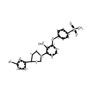 CC(C)c1noc(C2CCN(c3ncnc(Oc4ccc(S(C)(=O)=O)cc4)c3C=O)CC2)n1